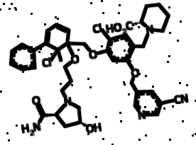 CC1(Cl)C(c2ccccc2)=CC=CC1(COc1cc(OCc2cncc(C#N)c2)c(CN2CCCC[C@H]2C(=O)O)cc1Cl)OCCCN1C[C@H](O)C[C@H]1C(N)=O